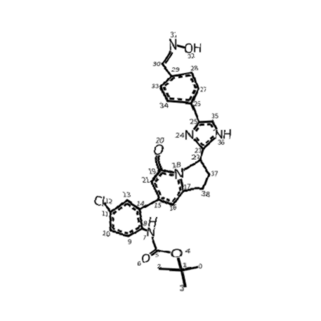 CC(C)(C)OC(=O)Nc1ccc(Cl)cc1-c1cc2n(c(=O)c1)C(c1nc(-c3ccc(/C=N\O)cc3)c[nH]1)CC2